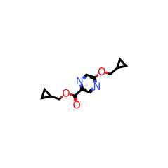 O=C(OCC1CC1)c1cnc(OCC2CC2)cn1